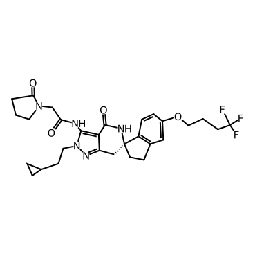 O=C(CN1CCCC1=O)Nc1c2c(nn1CCC1CC1)C[C@]1(CCc3cc(OCCCC(F)(F)F)ccc31)NC2=O